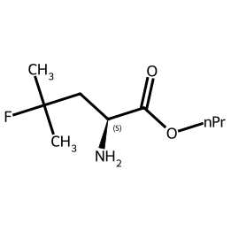 CCCOC(=O)[C@@H](N)CC(C)(C)F